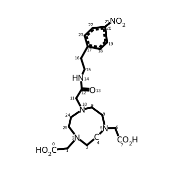 O=C(O)CN1CCN(CC(=O)O)CCN(CC(=O)NCCc2ccc([N+](=O)[O-])cc2)CC1